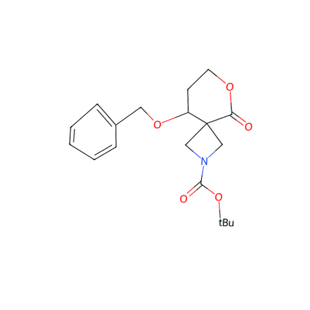 CC(C)(C)OC(=O)N1CC2(C1)C(=O)OCCC2OCc1ccccc1